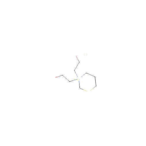 Cl.OCC[N+]1(CCO)CCCSC1